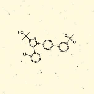 CC(C)(O)c1cc(-c2ccccc2Cl)n(-c2ccc(-c3cccc(S(C)(=O)=O)c3)cc2)n1